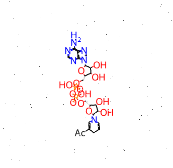 CC(=O)C1=CN([C@@H]2O[C@H](COP(=O)(O)OP(=O)(O)OC[C@@H]3O[C@H](n4cnc5c(N)ncnc54)C(O)[C@@H]3O)C(O)[C@@H]2O)C=CC1